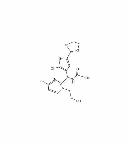 O=C(O)NC(c1cc(C2OCCO2)sc1Cl)c1nc(Cl)ccc1CCO